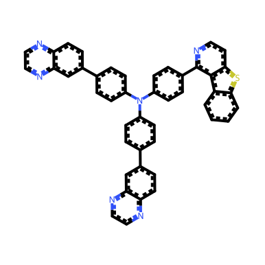 c1ccc2c(c1)sc1ccnc(-c3ccc(N(c4ccc(-c5ccc6nccnc6c5)cc4)c4ccc(-c5ccc6nccnc6c5)cc4)cc3)c12